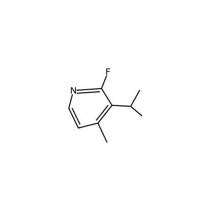 Cc1ccnc(F)c1C(C)C